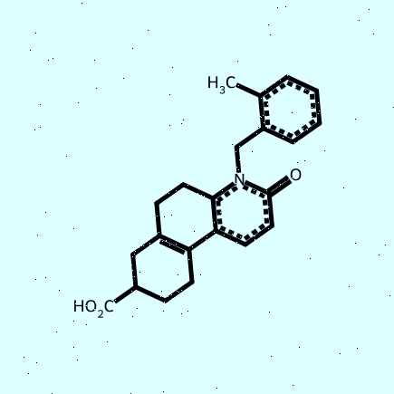 Cc1ccccc1Cn1c2c(ccc1=O)C1=C(CC2)CC(C(=O)O)CC1